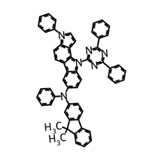 CC1(C)c2ccccc2-c2ccc(N(c3ccccc3)c3ccc4c(c3)c3ccc5c(ccn5-c5ccccc5)c3n4-c3nc(-c4ccccc4)nc(-c4ccccc4)n3)cc21